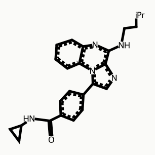 CC(C)CCNc1nc2ccccc2n2c(-c3ccc(C(=O)NC4CC4)cc3)cnc12